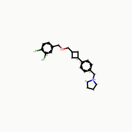 Fc1ccc(COCC2CC(c3ccc(CN4CCCC4)cc3)C2)cc1F